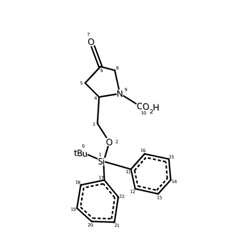 CC(C)(C)[Si](OCC1CC(=O)CN1C(=O)O)(c1ccccc1)c1ccccc1